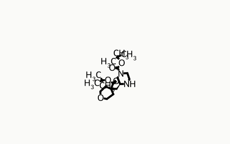 CC(C)(C)OC(=O)N1CCN[C@@H](CC2(C(=O)OC(C)(C)C)CCOCC2)C1